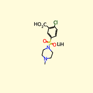 CN1CCN(S(=O)(=O)c2ccc(Cl)c(C(=O)O)c2)CC1.[LiH]